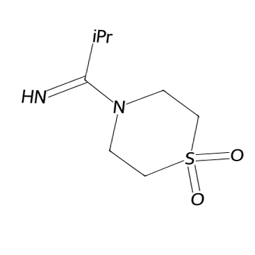 CC(C)C(=N)N1CCS(=O)(=O)CC1